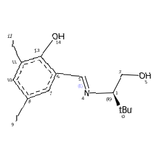 CC(C)(C)[C@H](CO)/N=C/c1cc(I)cc(I)c1O